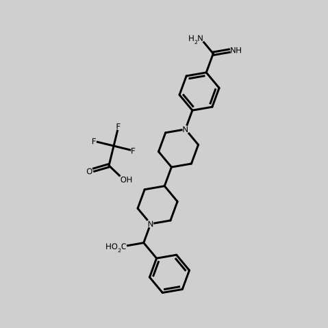 N=C(N)c1ccc(N2CCC(C3CCN(C(C(=O)O)c4ccccc4)CC3)CC2)cc1.O=C(O)C(F)(F)F